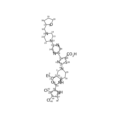 CCO[C@H]1CN(c2nc(-c3cnc(N4CCN(CC5CCCO5)CC4)cn3)c(C(=O)O)s2)CC[C@H]1NC(=O)c1[nH]c(C)c(Cl)c1Cl